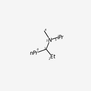 CCCC(CC)N(C)C(C)C